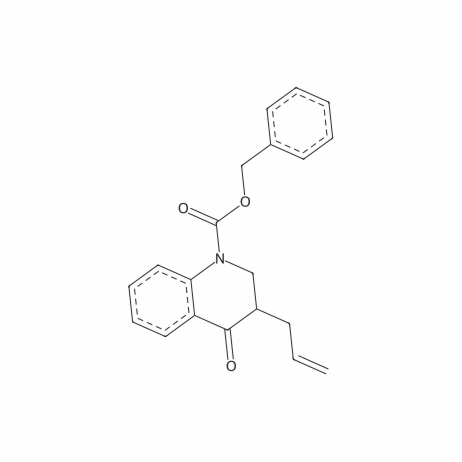 C=CCC1CN(C(=O)OCc2ccccc2)c2ccccc2C1=O